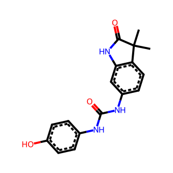 CC1(C)C(=O)Nc2cc(NC(=O)Nc3ccc(O)cc3)ccc21